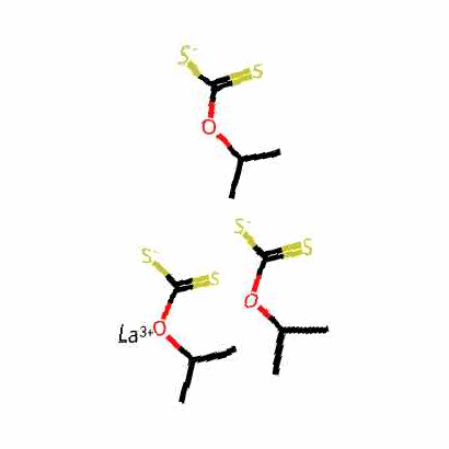 CC(C)OC(=S)[S-].CC(C)OC(=S)[S-].CC(C)OC(=S)[S-].[La+3]